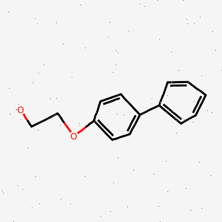 [O]CCOc1ccc(-c2ccccc2)cc1